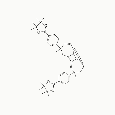 CC1(c2ccc(B3OC(C)(C)C(C)(C)O3)cc2)C=C2C3CC(C)(c4ccc(B5OC(C)(C)C(C)(C)O5)cc4)C=C4C(C1)C1C4C3C21